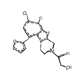 O=C(CO)N1CCc2c(sc3c(Cl)c(Cl)cc(-c4ccco4)c23)C1